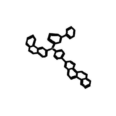 c1ccc(-c2cccc(N(c3ccc(-c4ccc5c(ccc6c7ccccc7ccc56)c4)cc3)c3ccc4ccc5ccccc5c4c3)c2)cc1